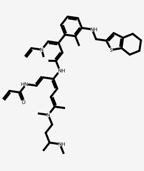 C=CC(=O)N/C=C/C(=C\C=C(/C)N(C)CCC(C)NC)N/C(C)=C/C(=C\N(C)C=C)c1cccc(NCc2cc3c(s2)CCCC3)c1C